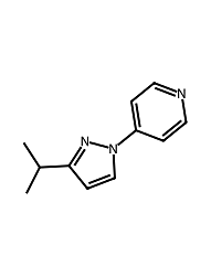 CC(C)c1ccn(-c2ccncc2)n1